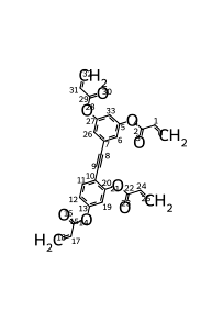 C=CC(=O)Oc1cc(C#Cc2ccc(OC(=O)C=C)cc2OC(=O)C=C)cc(OC(=O)C=C)c1